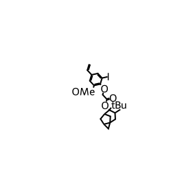 C=Cc1cc(I)c(OCC(=O)OC2(C(C)(C)C)C(C)CC34CC3CC2C4)c(OC)c1